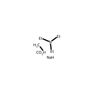 CC(=O)O.CCN(CC)CC.[NaH]